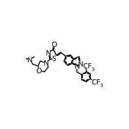 CN(C)CC1CN(C2=NC(=O)/C(=C/c3ccc4c(cnn4Cc4ccc(C(F)(F)F)cc4C(F)(F)F)c3)S2)CCO1